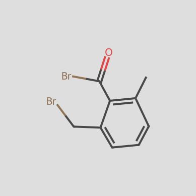 Cc1cccc(CBr)c1C(=O)Br